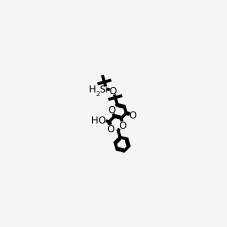 CC(C)(C)[SiH2]OC(C)(C)c1cc(=O)c(OCc2ccccc2)c(C(=O)O)o1